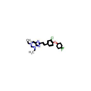 CCN1C=C2N=C(/C=C/c3ccc(OC4CCC(F)(F)CC4)c(Cl)c3)N=C2N(CC)C1